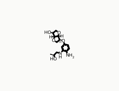 C[C@H](O)CNc1cc(O[C@H]2CO[C@H]3[C@@H]2OC[C@@H]3O)ccc1N